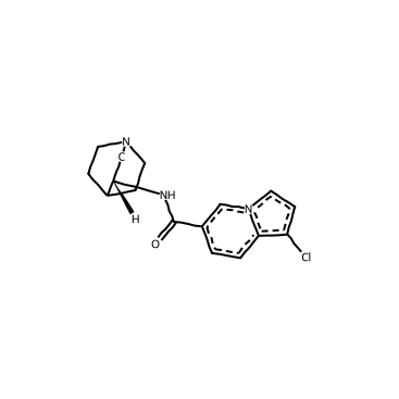 O=C(N[C@H]1CN2CCC1CC2)c1ccc2c(Cl)ccn2c1